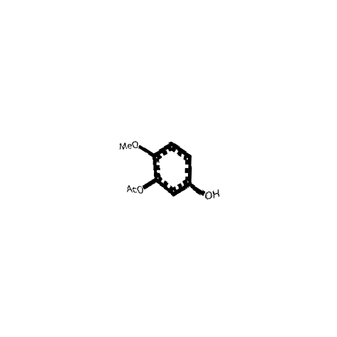 COc1ccc(O)cc1OC(C)=O